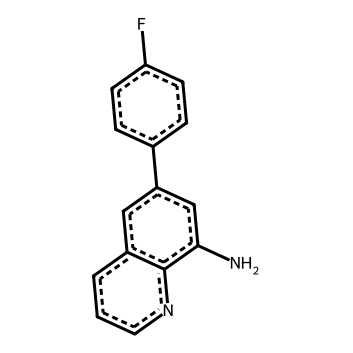 Nc1cc(-c2ccc(F)cc2)cc2cccnc12